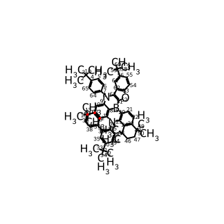 CC(C)(C)c1ccc(N2c3cc(C(C)(C)C)cc4c3B(c3ccc5c(c3N4c3ccc(C(C)(C)C)cc3-c3ccccc3)C(C)(C)CCC5(C)C)c3oc4ccc(C(C)(C)C)cc4c32)cc1